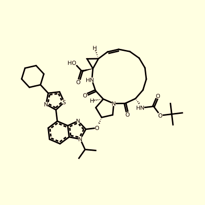 CC(C)n1c(O[C@@H]2C[C@H]3C(=O)N[C@]4(C(=O)O)C[C@H]4/C=C\CCCCC[C@H](NC(=O)OC(C)(C)C)C(=O)N3C2)nc2c(-c3nc(C4CCCCC4)cs3)cccc21